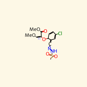 CO/C=C(/OC1C=CC(Cl)=CC1=C=NNS(C)(=O)=O)C(=O)OC